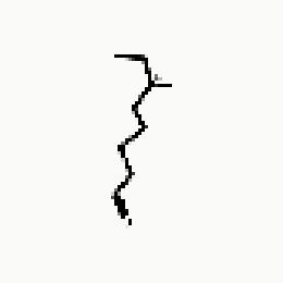 CC[C@@H](C)CCCC[C]=O